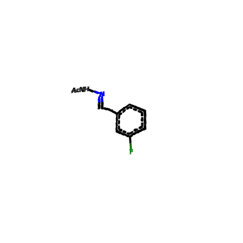 [CH2]C(=O)NN=Cc1cccc(F)c1